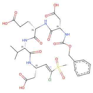 CC(C)[C@H](NC(=O)[C@H](CCC(=O)O)NC(=O)[C@H](CC(=O)O)NC(=O)OCc1ccccc1)C(=O)N[C@H](/C=C(\Cl)S(C)(=O)=O)CC(=O)O